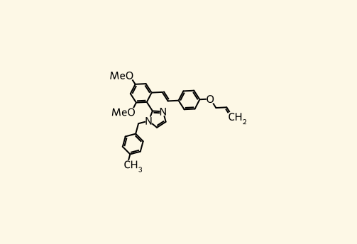 C=CCOc1ccc(C=Cc2cc(OC)cc(OC)c2-c2nccn2Cc2ccc(C)cc2)cc1